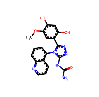 COc1cc(-c2nnc(NC(N)=O)n2-c2cccc3ncccc23)c(O)cc1O